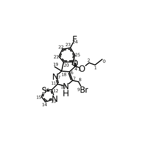 CCCOC(=O)C1=C(CBr)NC(c2nccs2)=NC1(C)c1ccc(F)cc1